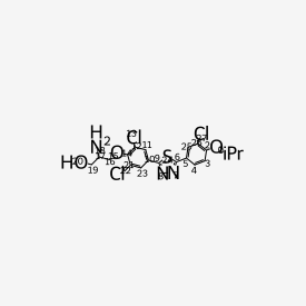 CC(C)Oc1ccc(-c2nnc(-c3cc(Cl)c(OC[C@H](N)CO)c(Cl)c3)s2)cc1Cl